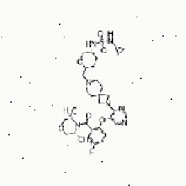 C[C@@H]1COC[C@H](C)N1C(=O)c1cc(F)ccc1Oc1cncnc1N1CC2(CCN(C[C@@H]3CC[C@@H](NS(=O)(=O)NC4CC4)CO3)CC2)C1